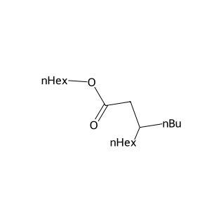 CCCCCCOC(=O)CC(CCCC)CCCCCC